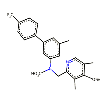 COc1c(C)cnc(CN(C(=O)O)c2cc(C)cc(-c3ccc(C(F)(F)F)cc3)c2)c1C